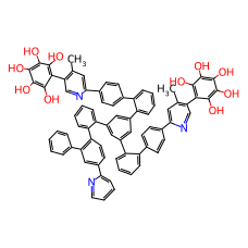 Cc1cc(-c2ccc(-c3ccccc3-c3cc(-c4ccccc4-c4ccc(-c5cc(C)c(-c6c(O)c(O)c(O)c(O)c6O)cn5)cc4)cc(-c4ccccc4-c4ccc(-c5ccccn5)cc4-c4ccccc4)c3)cc2)ncc1-c1c(O)c(O)c(O)c(O)c1O